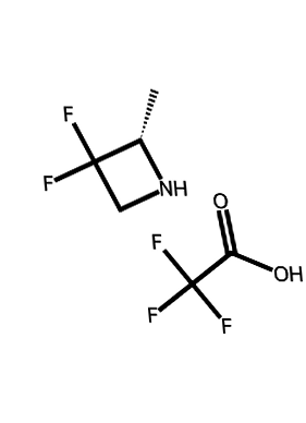 C[C@@H]1NCC1(F)F.O=C(O)C(F)(F)F